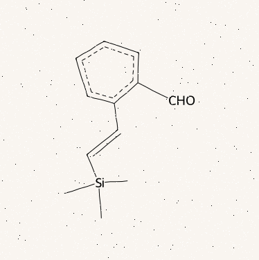 C[Si](C)(C)C=Cc1ccccc1C=O